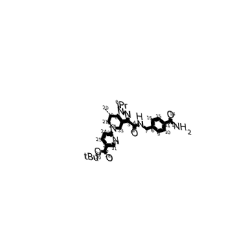 CC(C)n1nc(C(=O)NCc2ccc(C(N)=O)cc2)c2c1[C@@H](C)CN(c1ccc(C(=O)OC(C)(C)C)cn1)C2